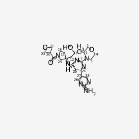 C[C@H]1COCCN1c1nc(N[C@@]2(CCO)CCN(C(=O)C3COC3)C2)cc(-c2cnc(N)nc2)n1